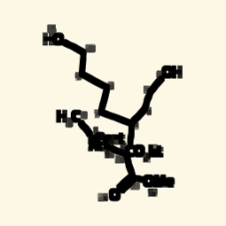 CCCCCC.CCOC(=O)C(CCO)CCCCO.COC(=O)CC(C)=O